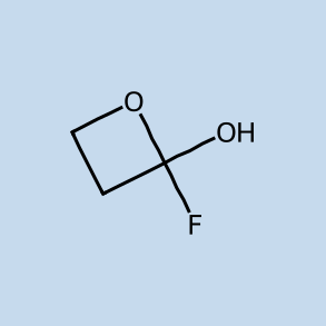 OC1(F)CCO1